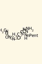 C=NOCC(=O)N1CCN(Cc2ccc(Cn3ccc4nc(N)nc(NCCCCC)c43)c(C)c2)CC1